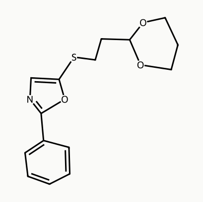 c1ccc(-c2ncc(SCCC3OCCCO3)o2)cc1